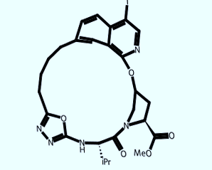 COC(=O)[C@@H]1CC2CN1C(=O)[C@H](C(C)C)Nc1nnc(o1)CCCCc1ccc3c(I)cnc(c3c1)O2